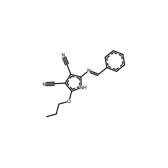 CCCOc1[nH]c(/N=C/c2ccccc2)c(C#N)c1C#N